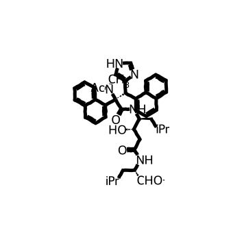 CC(=O)N(C)[C@@](C(=O)N[C@@H](CC(C)C)[C@@H](O)CC(=O)N[C@H]([C]=O)CC(C)C)(c1cccc2ccccc12)C(c1c[nH]cn1)c1cccc2ccccc12